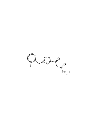 Cc1ccccc1Cn1ccc(C(=O)CC(=O)C(=O)O)c1